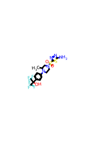 CC1CN(S(=O)(=O)c2nnc(N)s2)CCN1c1ccc(C(O)(C(F)(F)F)C(F)(F)F)cc1